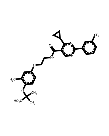 Cc1cc(OCCNC(=O)c2cnc(-c3cccc(C(F)(F)F)c3)nc2C2CC2)ccc1OC(C)(C)C(=O)O